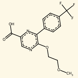 COCCOc1ncc(C(=O)O)nc1-c1ccc(C(F)(F)F)cc1